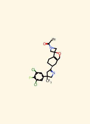 CC(C)C(=O)N1CC2(C1)OCC1=C2CC[C@H](C2=NCC(c3cc(Cl)c(F)c(Cl)c3)(C(F)(F)F)C2)C1